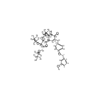 COc1cccc(COc2ccc(Cc3cn([C@@H]4O[C@H](CO[Si](C)(C)C(C)(C)C)[C@@H](O[Si](C)(C)C(C)(C)C)[C@H]4O[Si](C)(C)C(C)(C)C)c(=O)[nH]c3=O)cc2)c1